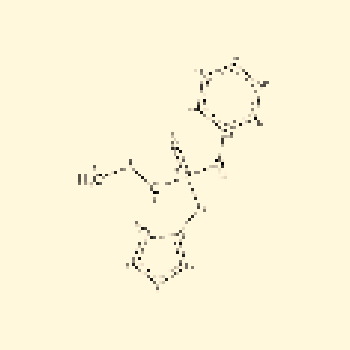 CCOP(=O)(Cc1ccco1)Oc1ccccc1